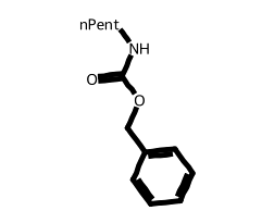 CCCCCNC(=O)OCc1ccccc1